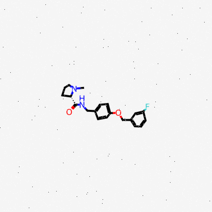 CN1CCC[C@H]1C(=O)NCc1ccc(OCc2cccc(F)c2)cc1